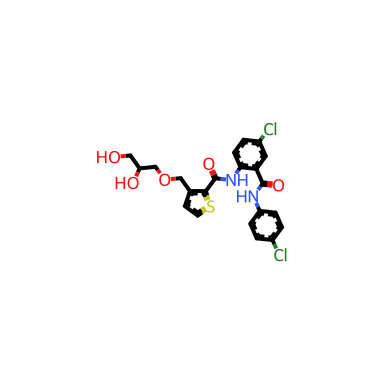 O=C(Nc1ccc(Cl)cc1)c1cc(Cl)ccc1NC(=O)c1sccc1COCC(O)CO